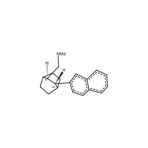 CNC[C@@H]1C2CCC(CC2)[C@H]1c1ccc2ccccc2c1